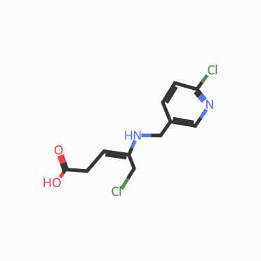 O=C(O)CC=C(CCl)NCc1ccc(Cl)nc1